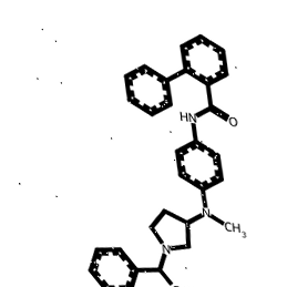 CCOC(=O)C(c1ccccc1)N1CCC(N(C)c2ccc(NC(=O)c3ccccc3-c3ccccc3)cc2)C1